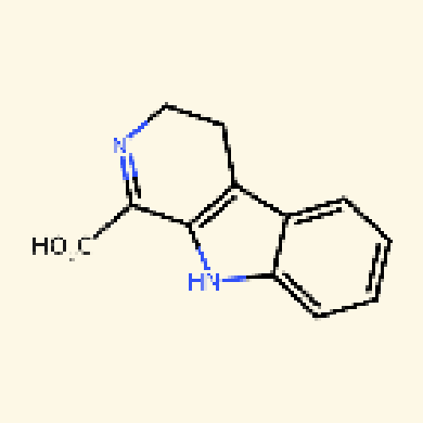 O=C(O)C1=NCCc2c1[nH]c1ccccc21